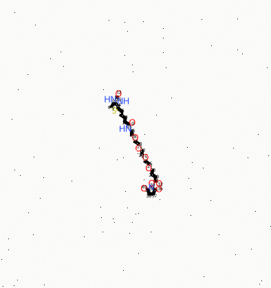 O=C(CCCCC1SCC2NC(=O)NC21)NCCOCCOCCOCCOCCCC(=O)ON1C(=O)CCC1=O